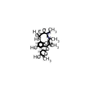 C/C=C1/C=C(\C)[C@H]2Oc3c(cc(O)cc3[C@@H](O[C@H]3CC[C@@H](O)[C@@H](C)O3)[C@@H]2C)NC(=O)C(C)C1=O